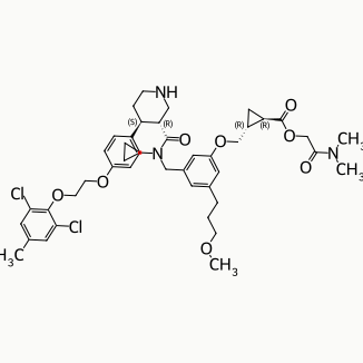 COCCCc1cc(CN(C(=O)[C@H]2CNCC[C@@H]2c2ccc(OCCOc3c(Cl)cc(C)cc3Cl)cc2)C2CC2)cc(OC[C@@H]2C[C@H]2C(=O)OCC(=O)N(C)C)c1